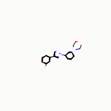 O=Cc1cc(-c2cnn(-c3cccc(N4CCOCC4)c3)c2)cc(F)c1O